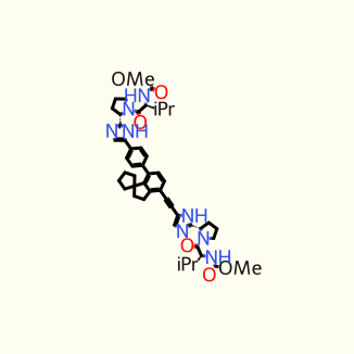 COC(=O)N[C@H](C(=O)N1CCC[C@H]1c1ncc(C#Cc2ccc(-c3ccc(-c4cnc([C@@H]5CCCN5C(=O)[C@@H](NC(=O)OC)C(C)C)[nH]4)cc3)c3c2CCC32CCCC2)[nH]1)C(C)C